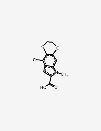 Cn1c(C(=O)O)cc2c(Cl)c3c(cc21)OCCO3